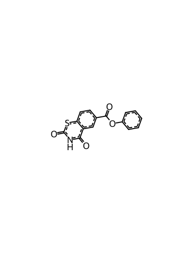 O=C(Oc1ccccc1)c1ccc2sc(=O)[nH]c(=O)c2c1